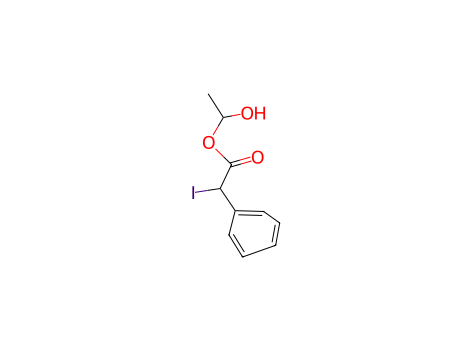 CC(O)OC(=O)C(I)c1ccccc1